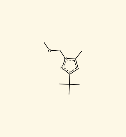 COCn1nc(C(C)(C)C)cc1C